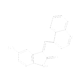 O=C1Nc2ccc(O)cc2C1=Cc1ccnc2ccccc12